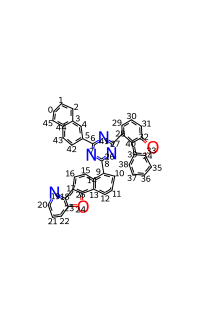 c1ccc2cc(-c3nc(-c4cccc5c4ccc4c6ncccc6oc54)nc(-c4cccc5oc6ccccc6c45)n3)ccc2c1